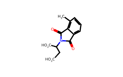 Cc1cccc2c1C(=O)N(C(CC(=O)O)C(=O)O)C2=O